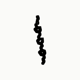 C=CCOCc1ccc(CCC2CCC(CCc3ccc(CC=CC)cc3)CC2)cc1